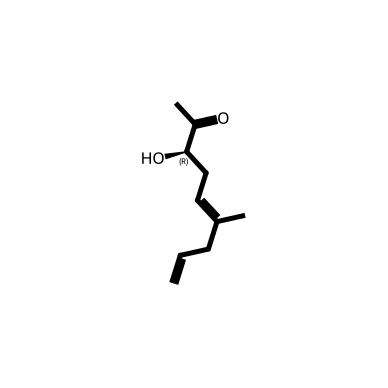 C=CCC(C)=CC[C@@H](O)C(C)=O